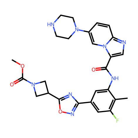 COC(=O)N1CC(c2nc(-c3cc(F)c(C)c(NC(=O)c4cnc5ccc(N6CCNCC6)cn45)c3)no2)C1